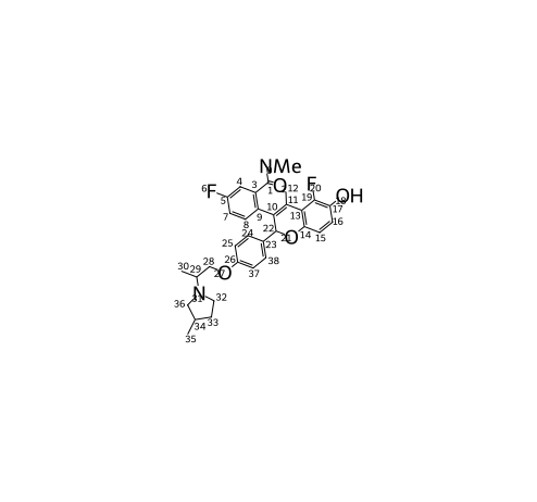 CNC(=O)c1cc(F)ccc1C1=C(C)c2c(ccc(O)c2F)OC1c1ccc(OCC(C)N2CCC(C)C2)cc1